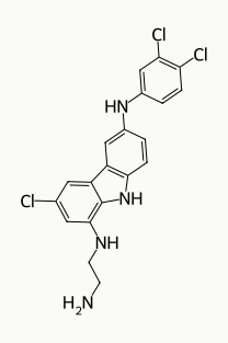 NCCNc1cc(Cl)cc2c1[nH]c1ccc(Nc3ccc(Cl)c(Cl)c3)cc12